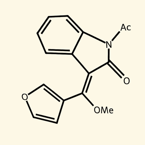 COC(=C1C(=O)N(C(C)=O)c2ccccc21)c1ccoc1